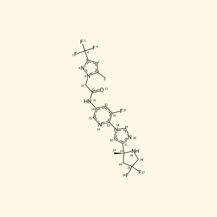 Cc1cc(C(F)(F)F)nn1CC(=O)Nc1cnc(-n2cnc([C@@]3(C)CC(F)(F)CN3)c2)c(F)c1